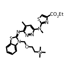 CCOC(=O)c1csc(N(C)c2cc(C)c(N=c3sc4ccccc4n3COCC[Si](C)(C)C)nn2)n1